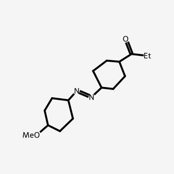 CCC(=O)C1CCC(N=NC2CCC(OC)CC2)CC1